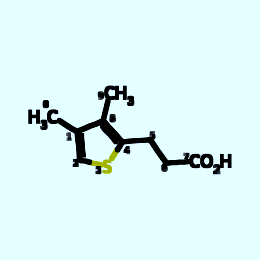 Cc1csc(CCC(=O)O)c1C